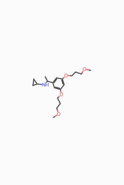 COCCCOc1cc(OCCCOC)cc(C(C)NC2CC2)c1